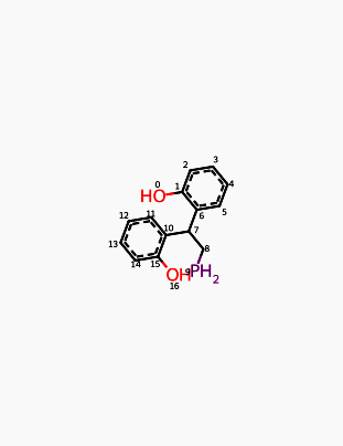 Oc1ccccc1C(CP)c1ccccc1O